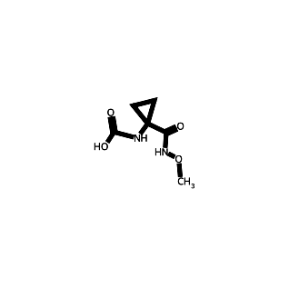 CONC(=O)C1(NC(=O)O)CC1